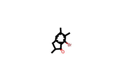 Cc1cc2c(c(Br)c1C)C(=O)C(C)C2